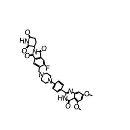 COc1cc(OC)c2c(=O)[nH]c(-c3ccc(N4CCN(Cc5cc6c(cc5F)C(=O)N(C5CCC(=O)NC5=O)C6=O)CC4)cc3)nc2c1